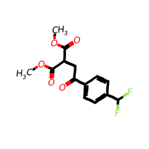 COC(=O)C(CC(=O)c1ccc(C(F)F)cc1)C(=O)OC